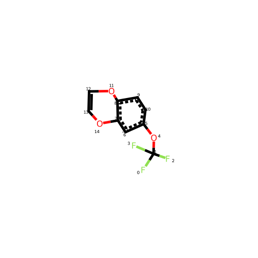 FC(F)(F)Oc1[c]c2c(cc1)OC=CO2